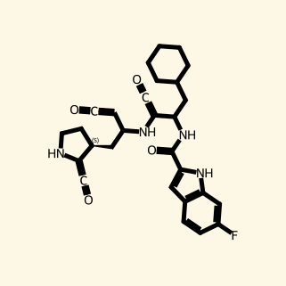 O=C=CC(C[C@@H]1CCNC1=C=O)NC(=C=O)C(CC1CCCCC1)NC(=O)c1cc2ccc(F)cc2[nH]1